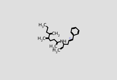 C=CC(C/C=C/c1ccccc1)NC(=C)CCC(=C)C(=C)CCC